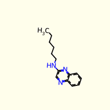 CCCCCCNc1cnc2ccccc2n1